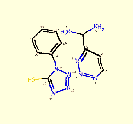 NC(N)c1ccnnn1.Sc1nnnn1-c1ccccc1